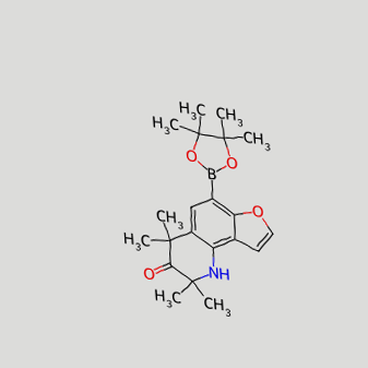 CC1(C)Nc2c(cc(B3OC(C)(C)C(C)(C)O3)c3occc23)C(C)(C)C1=O